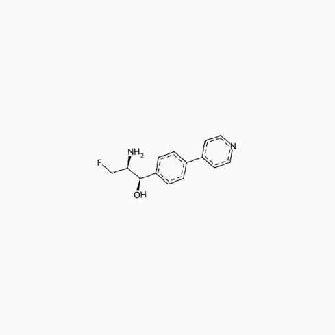 N[C@H](CF)[C@H](O)c1ccc(-c2ccncc2)cc1